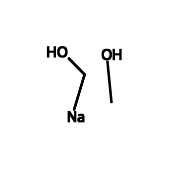 CO.O[CH2][Na]